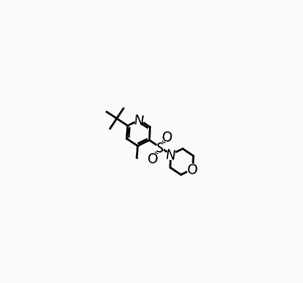 Cc1cc(C(C)(C)C)ncc1S(=O)(=O)N1CCOCC1